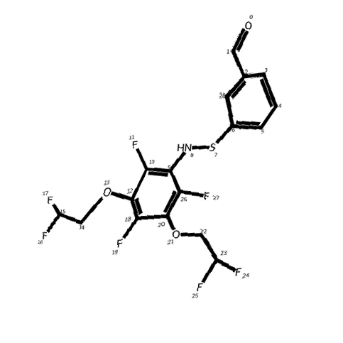 O=Cc1cccc(SNc2c(F)c(OCC(F)F)c(F)c(OCC(F)F)c2F)c1